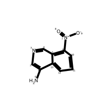 Nc1cncc2c([N+](=O)[O-])cccc12